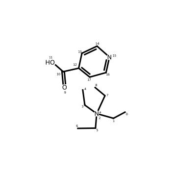 CC[N+](CC)(CC)CC.O=C(O)c1ccncc1